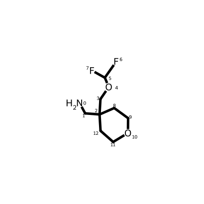 NCC1(COC(F)F)CCOCC1